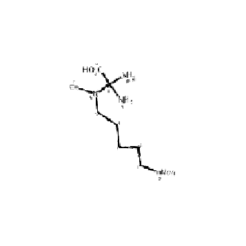 CCCCCCCCCCCCCCN(CC)C(N)(N)C(=O)O